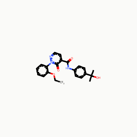 CC(C)(O)c1ccc(NC(=O)c2ccnn(-c3ccccc3OCC(F)(F)F)c2=O)cc1